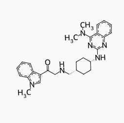 CN(C)c1nc(N[C@H]2CC[C@@H](CNCC(=O)c3cn(C)c4ccccc34)CC2)nc2ccccc12